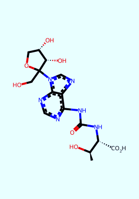 C[C@@H](O)[C@H](NC(=O)Nc1ncnc2c1ncn2C1(CO)OC[C@H](O)[C@@H]1O)C(=O)O